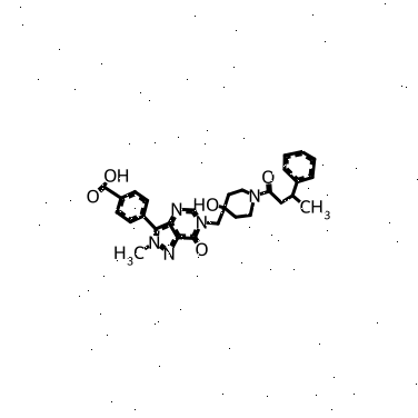 CC(CC(=O)N1CCC(O)(Cn2cnc3c(-c4ccc(C(=O)O)cc4)n(C)nc3c2=O)CC1)c1ccccc1